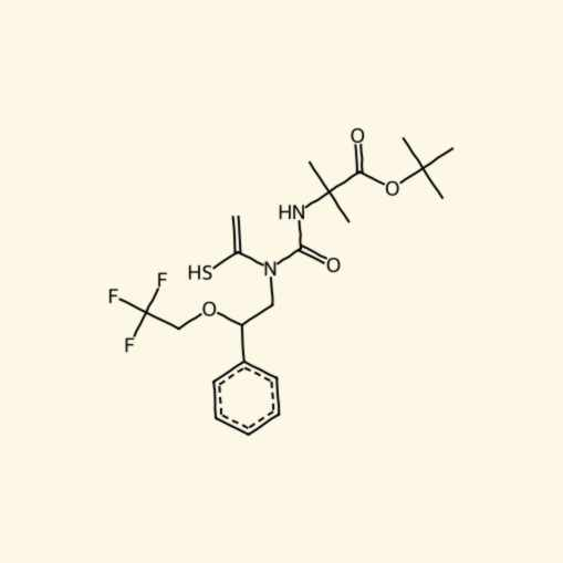 C=C(S)N(CC(OCC(F)(F)F)c1ccccc1)C(=O)NC(C)(C)C(=O)OC(C)(C)C